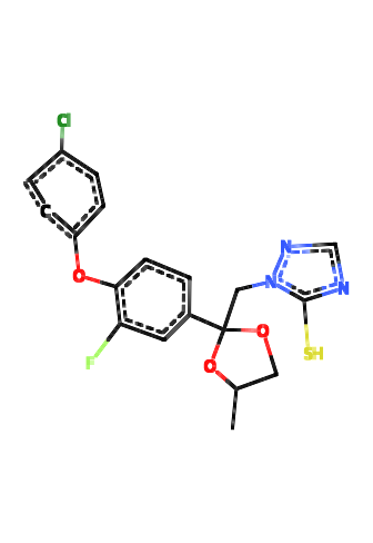 CC1COC(Cn2ncnc2S)(c2ccc(Oc3ccc(Cl)cc3)c(F)c2)O1